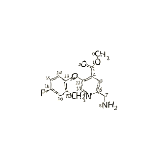 COC(=O)c1cc(CN)ncc1Oc1ccc(F)cc1C